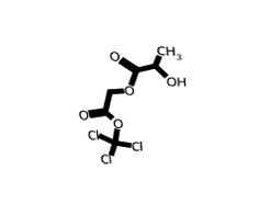 CC(O)C(=O)OCC(=O)OC(Cl)(Cl)Cl